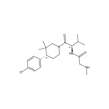 CNCC(=O)N[C@@H](C(=O)N1CC[C@H](c2ccc(Cl)cc2)C(C)(C)C1)C(C)C